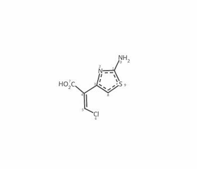 Nc1nc(/C(=C\Cl)C(=O)O)cs1